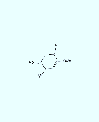 COc1cc(N)c(O)cc1F